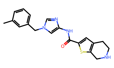 Cc1cccc(Cn2cnc(NC(=O)c3cc4c(s3)CNCC4)c2)c1